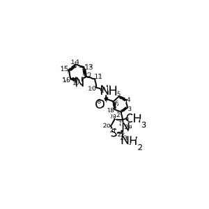 CC1(c2cccc(C(=O)NCCc3ccccn3)c2)CCSC(N)=N1